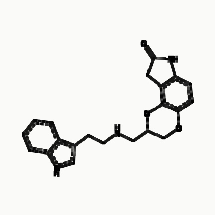 O=C1Cc2c(ccc3c2OC(CNCCc2c[nH]c4ccccc24)CO3)N1